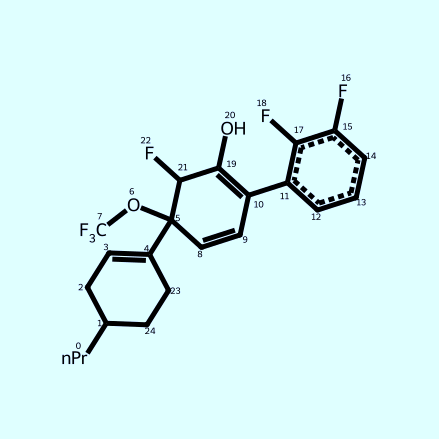 CCCC1CC=C(C2(OC(F)(F)F)C=CC(c3cccc(F)c3F)=C(O)C2F)CC1